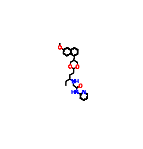 CCC(CCC1OCC(c2cccc3cc(OC)ccc23)CO1)NCC(=O)Nc1ccccn1